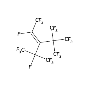 FC(=C(C(F)(C(F)(F)F)C(F)(F)F)C(C(F)(F)F)(C(F)(F)F)C(F)(F)F)C(F)(F)F